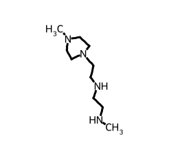 CNCCNCCN1CCN(C)CC1